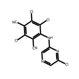 N#Cc1c(Cl)c(Cl)c(Nc2cncc(Cl)n2)c(C#N)c1Cl